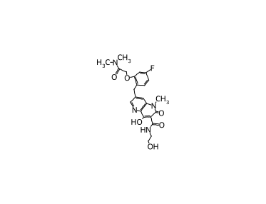 CN(C)C(=O)COc1cc(F)ccc1Cc1cnc2c(O)c(C(=O)NCCO)c(=O)n(C)c2c1